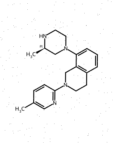 Cc1ccc(N2CCc3cccc(N4CCN[C@H](C)C4)c3C2)nc1